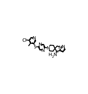 Cc1c(Cl)cncc1Sc1cnc(N2CCC3(CC2)Cn2nccc2[C@H]3N)cn1